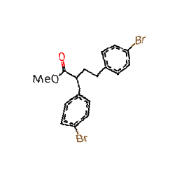 COC(=O)C(CCc1ccc(Br)cc1)c1ccc(Br)cc1